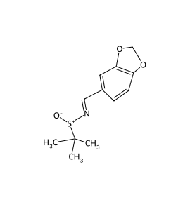 CC(C)(C)[S+]([O-])/N=C/c1ccc2c(c1)OCO2